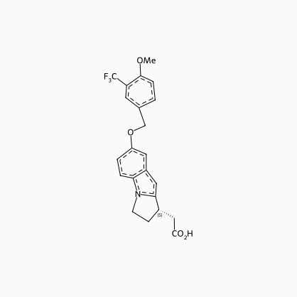 COc1ccc(COc2ccc3c(c2)cc2n3CC[C@H]2CC(=O)O)cc1C(F)(F)F